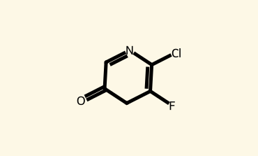 O=C1C=NC(Cl)=C(F)C1